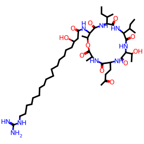 CCC(C)C1NC(=O)C(C(C)CC)NC(=O)C(NC(=O)CC(O)CCCCCCCCCCCCCCCCNC(=N)N)C(C)OC(=O)C(C)NC(=O)C(CCC(C)=O)NC(=O)C(C(C)O)NC1=O